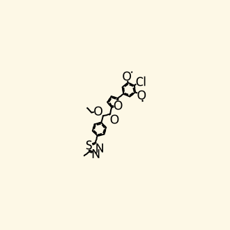 CCO[C@@H](C(=O)c1ccc(-c2cc(OC)c(Cl)c(OC)c2)o1)c1ccc(-c2nnc(C)s2)cc1